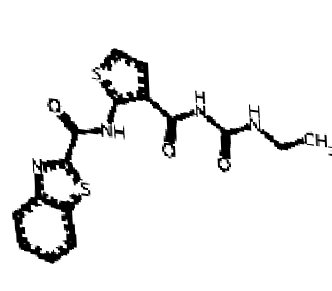 CCNC(=O)NC(=O)c1ccsc1NC(=O)c1nc2ccccc2s1